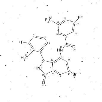 Cc1c(F)cccc1C1NC(=O)c2cc(Br)cc(NC(=O)c3cc(F)cc(C(F)(F)F)c3)c21